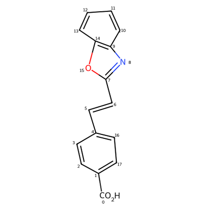 O=C(O)c1ccc(C=Cc2nc3[c]cccc3o2)cc1